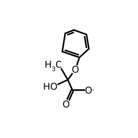 CC(O)(Oc1ccccc1)C([O])=O